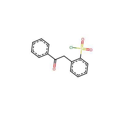 O=C(Cc1ccccc1S(=O)(=O)Cl)c1ccccc1